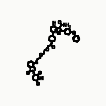 NC(=O)c1c(-c2ccc(Oc3ccccc3)cc2)nn2c1NCCC2C1CCN(C(=O)COCCOCCSc2cccc3c2CN(C2CCC(=O)NC2=O)C3=O)CC1